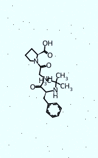 CC(C)(C)N[C@@H](Cc1ccccc1)C(=O)NCC(=O)N1CCC[C@H]1C(=O)O